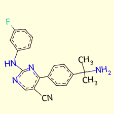 CC(C)(N)c1ccc(-c2nc(Nc3cccc(F)c3)ncc2C#N)cc1